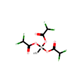 CCC[Si](OC(=O)C(F)F)(OC(=O)C(F)F)OC(=O)C(F)F